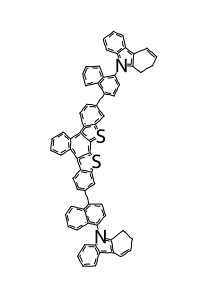 C1=Cc2c(n(-c3ccc(-c4ccc5c(c4)sc4c6sc7cc(-c8ccc(-n9c%10c(c%11ccccc%119)C=CCC%10)c9ccccc89)ccc7c6c6ccccc6c54)c4ccccc34)c3ccccc23)CC1